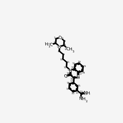 CC1COCC(C)N1CCCCCn1c(=O)c(-c2cccc(C(=N)N)c2)nc2ccccc21